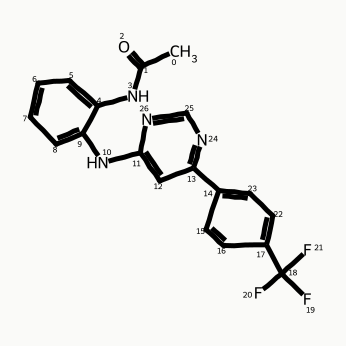 CC(=O)Nc1ccccc1Nc1cc(-c2ccc(C(F)(F)F)cc2)ncn1